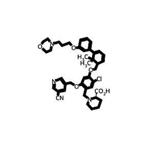 CC1(C)C(c2cccc(OCCCN3CCOCC3)c2)=CC=CC1COc1cc(OCc2cncc(C#N)c2)c(CN2CCCC[C@H]2C(=O)O)cc1Cl